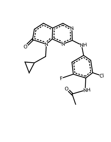 CC(=O)Nc1c(F)cc(Nc2ncc3ccc(=O)n(CC4CC4)c3n2)cc1Cl